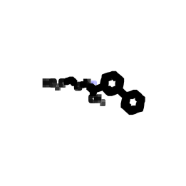 C/C(=N\OCC(=O)O)c1cccc(-c2ccccc2)c1